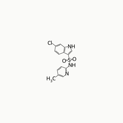 Cc1ccc(NS(=O)(=O)c2c[nH]c3cc(Cl)ccc23)nc1